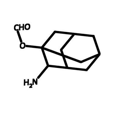 NC1C2CC3CC(C2)CC1(OC=O)C3